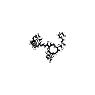 CCC(O[Si](CC)(CC)CC)C(C)C1OC1CC(C)(/C=C/C=C(\C)C1OC(=O)CC(O[Si](CC)(CC)CC)CCC(C)C(OC(=O)N(C)CCN2CCOCC2)/C=C/C1C)O[Si](CC)(CC)CC